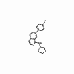 Fc1ccc(-c2ccc3ncnc(NC4CCCCC4)c3c2)cc1